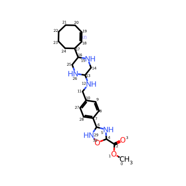 COC(=O)C1NC(c2ccc(CNC3CNC(C4/C=C\CCCCC4)CN3)cc2)NO1